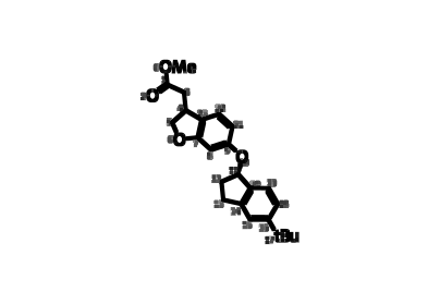 COC(=O)CC1COc2cc(O[C@@H]3CCc4cc(C(C)(C)C)ccc43)ccc21